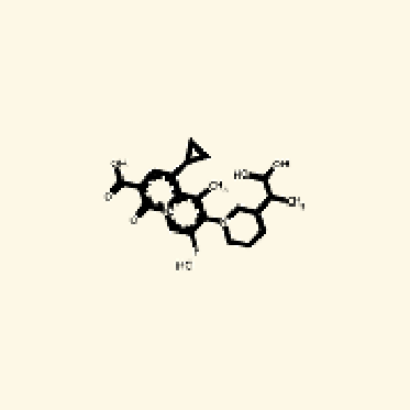 Cc1c(N2CCCC(C(C)C(O)O)C2)c(F)cn2c(=O)c(C(=O)O)cc(C3CC3)c12.Cl